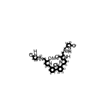 COc1nc(-c2cccc(-c3cccc(-c4ccc5[nH]c(CNC[C@H]6CCC(=O)N6)c(Cl)c5n4)c3Cl)c2Cl)ccc1CNC[C@H]1CCC(=O)N1